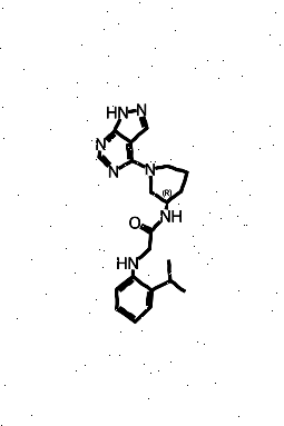 CC(C)c1ccccc1NCC(=O)N[C@@H]1CCCN(c2ncnc3[nH]ncc23)C1